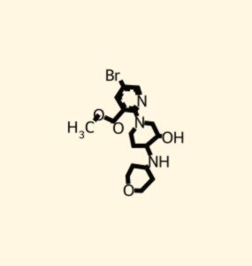 COC(=O)c1cc(Br)cnc1N1CCC(NC2CCOCC2)C(O)C1